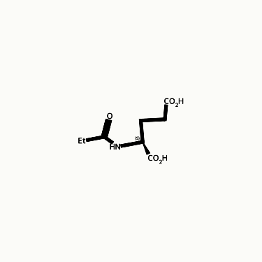 CCC(=O)N[C@@H](CCC(=O)O)C(=O)O